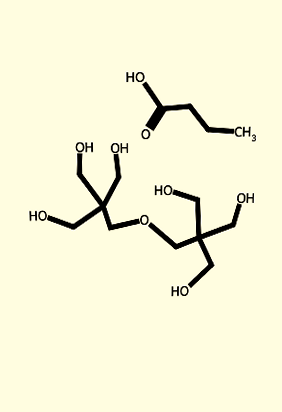 CCCC(=O)O.OCC(CO)(CO)COCC(CO)(CO)CO